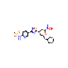 CS(=O)(=O)Nc1ccc(-c2noc([C@H](CCCC3CCCCC3)CC(=O)NO)n2)cn1